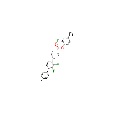 CCc1ccc(OC(=O)C2CCC(c3ccc(-c4ccc(C)cc4)c(F)c3F)CC2)c(F)c1